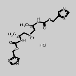 CCN(C[C@@H](C)NC(=O)OCc1cncs1)C[C@@H](C)NC(=O)OCc1cncs1.Cl